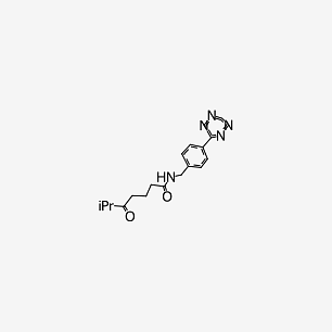 CC(C)C(=O)CCCC(=O)NCc1ccc(-c2nncnn2)cc1